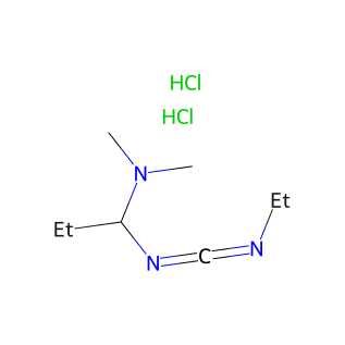 CCN=C=NC(CC)N(C)C.Cl.Cl